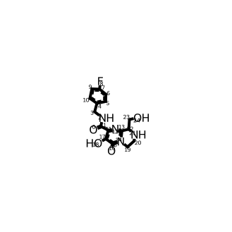 O=C(NCc1ccc(F)cc1)c1nc2n(c(=O)c1O)CCNC2CO